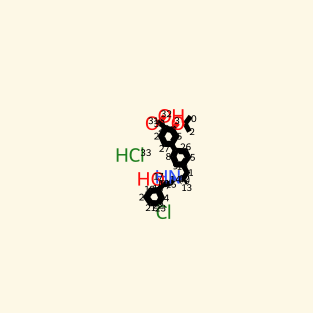 CC(C)Oc1cc(-c2ccc(C[C@@H](C)NC[C@H](O)c3cccc(Cl)c3)cc2)ccc1C(=O)O.Cl